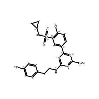 COc1nc(NCCc2ccc(F)cc2)nc(-c2ccc(Cl)c(S(=O)(=O)NC3CC3)c2)n1